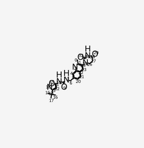 Cc1nc2cc(CNC(=O)Nc3cc(C(C)(C)C)no3)ccc2cc1N1CCC(=O)NC1=O